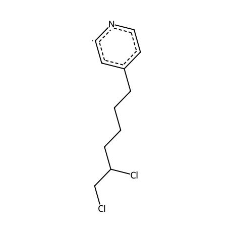 ClCC(Cl)CCCCc1c[c]ncc1